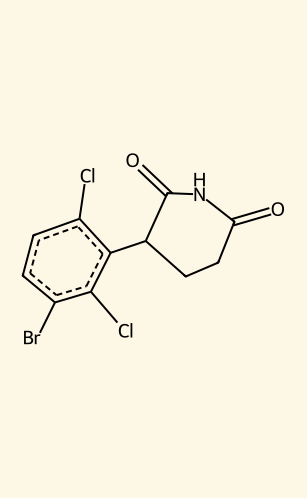 O=C1CCC(c2c(Cl)ccc(Br)c2Cl)C(=O)N1